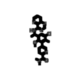 COc1c(C(C)Nc2ncnc3cccnc23)cc(Cl)c(C)c1-c1ccc(C(=O)N(C)C)nc1